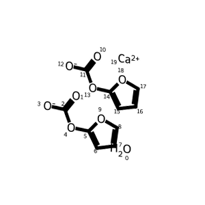 O.O=C([O-])Oc1ccco1.O=C([O-])Oc1ccco1.[Ca+2]